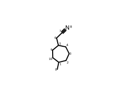 CC1CCCC(CC#N)CC1